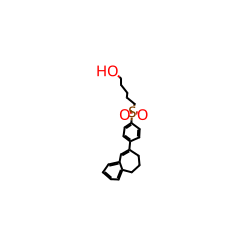 O=S(=O)(CCCCCO)c1ccc(C2=Cc3ccccc3CCC2)cc1